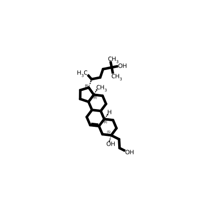 CC(CCC(C)(C)O)[C@H]1CCC2C3CC=C4C[C@](O)(CCO)CC[C@@H]4C3CC[C@@]21C